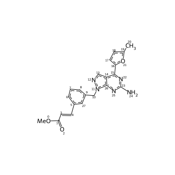 COC(=O)C=Cc1cccc(Cn2ncc3c(-c4ccc(C)o4)nc(N)nc32)c1